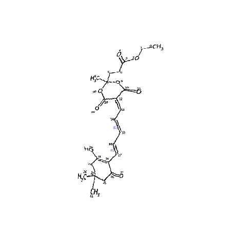 CCOC(=O)CCC1(C)OC(=O)C(=C/C=C/C=C/C2=C(O)CC(C)(C)CC2=O)C(=O)O1